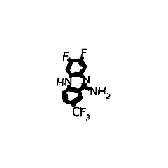 NC1=Nc2cc(F)c(F)cc2Nc2ccc(C(F)(F)F)cc21